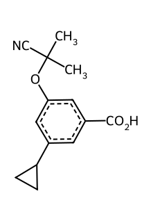 CC(C)(C#N)Oc1cc(C(=O)O)cc(C2CC2)c1